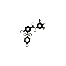 O=C1CCC(S(=O)(=O)c2cc(C(=O)Nc3cc(F)c(F)c(F)c3)ccc2Cl)CC1